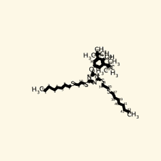 CCCCCCCCSCCSc1nc(Oc2cc(C(C)(C)C)c(O)c(C(C)(C)C)c2)nc(SCCSCCCCCCCC)n1